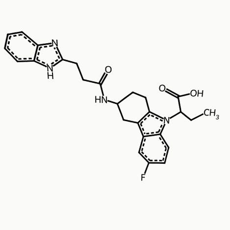 CCC(C(=O)O)n1c2c(c3cc(F)ccc31)CC(NC(=O)CCc1nc3ccccc3[nH]1)CC2